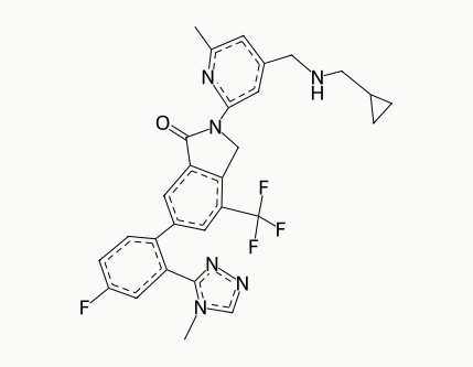 Cc1cc(CNCC2CC2)cc(N2Cc3c(cc(-c4ccc(F)cc4-c4nncn4C)cc3C(F)(F)F)C2=O)n1